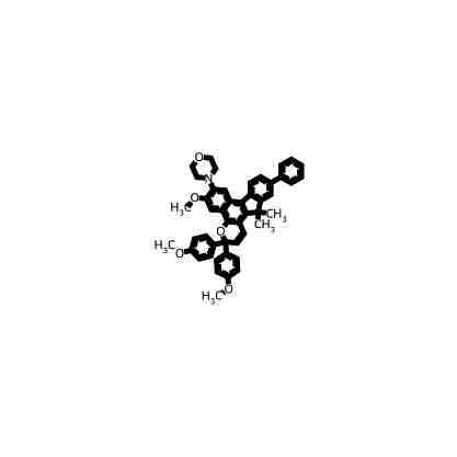 COc1ccc(C2(c3ccc(OC)cc3)C=Cc3c4c(c5cc(N6CCOCC6)c(OC)cc5c3O2)-c2ccc(-c3ccccc3)cc2C4(C)C)cc1